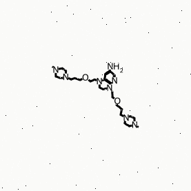 CN1CCN(CCCOCCN2CCN(CCOCCCN3CCN(C)CC3)c3ncc(N)cc32)CC1